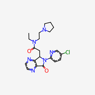 CCN(CCN1CCCC1)C(=O)CC1c2nccnc2C(=O)N1c1ccc(Cl)cn1